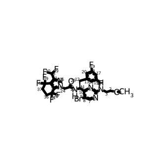 COCCNc1ncc(Br)c([C@H](Cc2cc(F)cc(F)c2)NC(=O)Cn2nc(C(F)F)c3c2C(F)(F)CCC3(F)F)n1